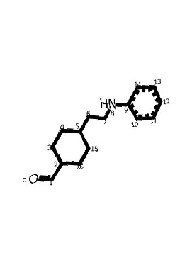 O=CC1CCC(CCNc2ccccc2)CC1